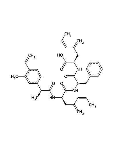 C=Cc1ccc([C@H](C)C(=O)N[C@H](CC(=C)/C=C\C)C(=O)N[C@H](Cc2ccccc2)C(=O)N[C@H](CC(=C)/C=C\C)C(=O)O)cc1C